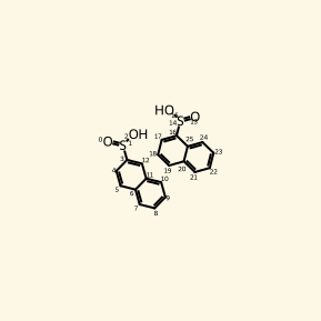 O=S(O)c1ccc2ccccc2c1.O=S(O)c1cccc2ccccc12